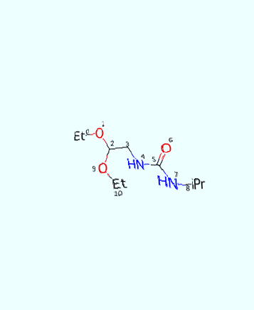 CCOC(CNC(=O)NC(C)C)OCC